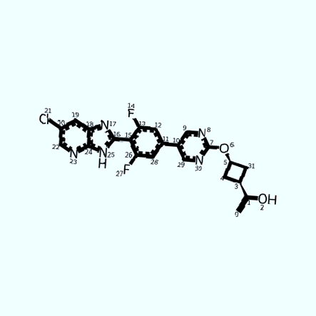 C=C(O)[C@H]1C[C@@H](Oc2ncc(-c3cc(F)c(-c4nc5cc(Cl)cnc5[nH]4)c(F)c3)cn2)C1